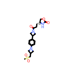 CS(=O)(=O)CC1CN(c2ccc(C3CN(C(=O)CC[C@@H]4COC(=O)N4)C3)cc2)C1